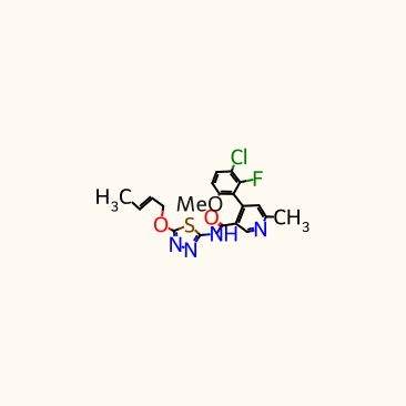 C/C=C/COc1nnc(NC(=O)c2cnc(C)cc2-c2c(OC)ccc(Cl)c2F)s1